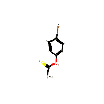 CSC(=S)Oc1ccc(Br)cc1